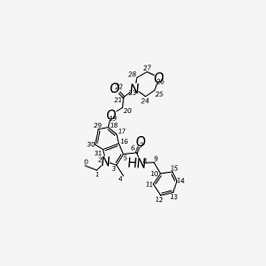 CCn1c(C)c(C(=O)NCc2ccccc2)c2cc(OCC(=O)N3CCOCC3)ccc21